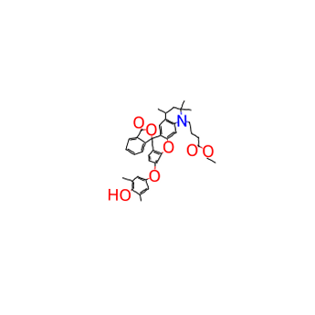 CCOC(=O)CCCN1c2cc3c(cc2C(C)CC1(C)C)C1(OC(=O)c2ccccc21)c1ccc(Oc2cc(C)c(O)c(C)c2)cc1O3